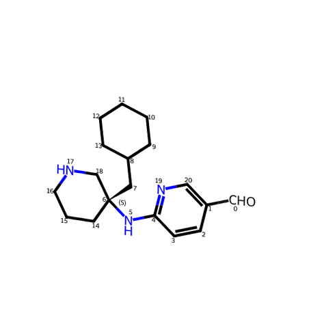 O=Cc1ccc(N[C@]2(CC3CCCCC3)CCCNC2)nc1